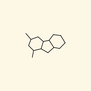 CC1CC(C)C2CC3CCCCC3C2C1